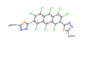 CCCCCCc1nnc(-c2c(Cl)c(Cl)c3c(Cl)c4c(Cl)c(Cl)c(-c5nnc(CCCCCC)s5)c(Cl)c4c(Cl)c3c2Cl)s1